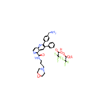 NCc1ccc(-c2nc3ccnc(C(=O)NCCCN4CCOCC4)c3cc2-c2ccccc2)cc1.O=C(O)C(F)(F)F.O=C(O)C(F)(F)F